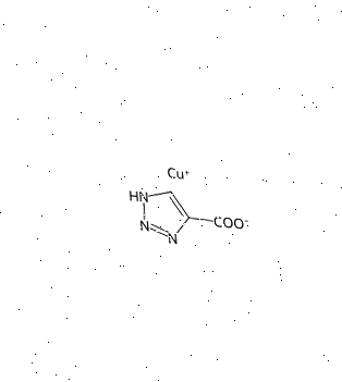 O=C([O-])c1c[nH]nn1.[Cu+]